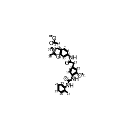 COC(=O)C[C@H](c1ccc(NC(=O)Cc2ccc(NC(=O)Nc3ccccc3C)c(OC)c2)cc1)N(C)C(C)=O